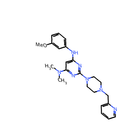 COc1cccc(Nc2cc(N(C)C)nc(N3CCN(Cc4ccccn4)CC3)n2)c1